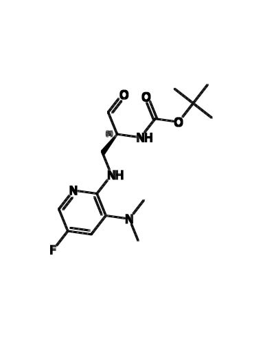 CN(C)c1cc(F)cnc1NC[C@@H](C=O)NC(=O)OC(C)(C)C